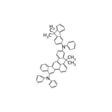 CC1(C)c2ccccc2-c2cc(N(c3ccccc3)c3ccc4c(c3)C(C)(C)c3cccc5c3c-4cc3c4ccccc4c(N(c4ccccc4)c4ccccc4)cc53)ccc21